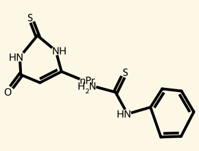 CCCc1cc(=O)[nH]c(=S)[nH]1.NC(=S)Nc1ccccc1